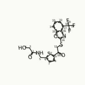 O=C(CO)NCc1ccc(C(=O)CSc2nc3c(C(F)(F)F)cccc3o2)s1